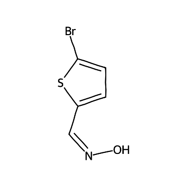 O/N=C\c1ccc(Br)s1